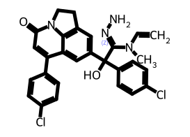 C=CN(C)/C(=N\N)C(O)(c1ccc(Cl)cc1)c1cc2c3c(c1)c(-c1ccc(Cl)cc1)cc(=O)n3CC2